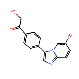 O=C(CO)c1ccc(-c2cnc3ccc(Br)cn23)cc1